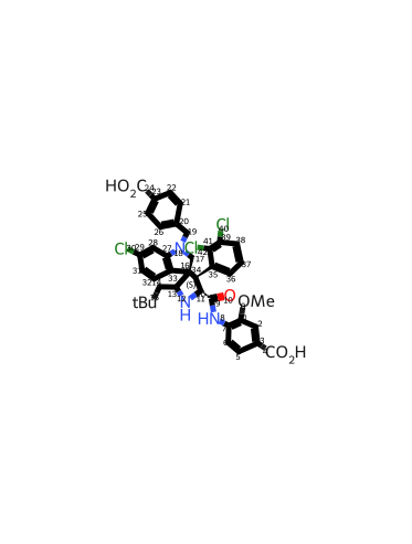 COc1cc(C(=O)O)ccc1NC(=O)[C@@H]1NC(CC(C)(C)C)[C@@]2(CN(Cc3ccc(C(=O)O)cc3)c3cc(Cl)ccc32)[C@H]1c1cccc(Cl)c1Cl